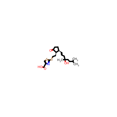 CC(C)CCC(C)(O)C/C=C/[C@@H]1CCC(=O)[C@@H]1CCSc1nc(C(=O)O)cs1